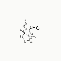 CC=CC(CC=O)C1(C)CCCC1(C)C